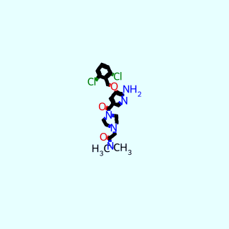 CN(C)C(=O)CN1CCN(C(=O)c2cnc(N)c(OCc3c(Cl)cccc3Cl)c2)CC1